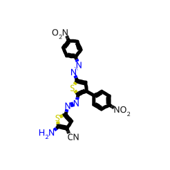 N#Cc1cc(N=Nc2sc(N=Nc3ccc([N+](=O)[O-])cc3)cc2-c2ccc([N+](=O)[O-])cc2)sc1N